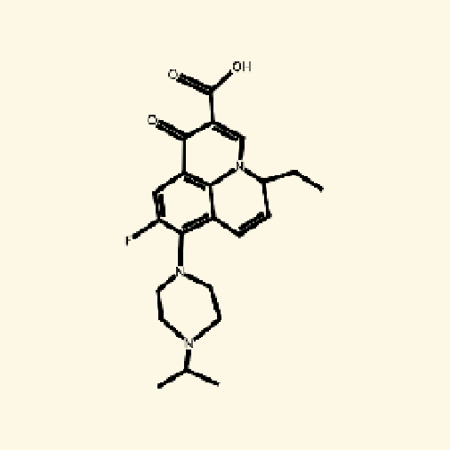 CCC1C=Cc2c(N3CCN(C(C)C)CC3)c(F)cc3c(=O)c(C(=O)O)cn1c23